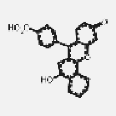 O=C(O)c1ccc(-c2c3ccc(=O)cc-3oc3c2cc(O)c2ccccc23)cc1